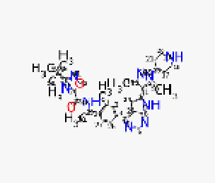 Cc1cc(-c2ncnc3[nH]c(-c4c(C)nn(C5CCNCC5)c4C)cc23)ccc1C(C)NC(=O)c1nc(C(C)(C)C)no1